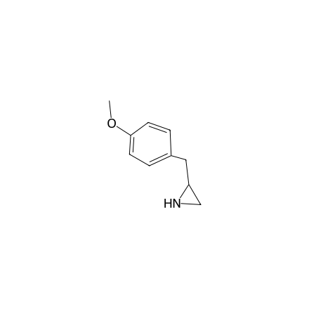 COc1ccc(CC2CN2)cc1